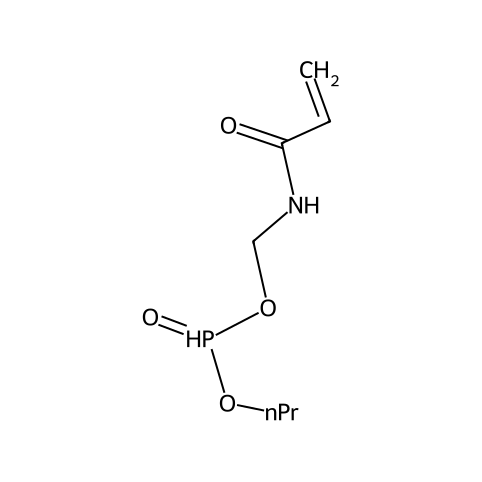 C=CC(=O)NCO[PH](=O)OCCC